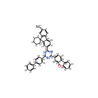 N#Cc1ccc2c(c1)C1(CCCCC1)c1cc(-c3nc(-c4ccc(-c5ccccc5)cc4)nc(-c4ccc5c(c4)oc4ccccc45)n3)ccc1-2